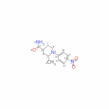 CC1CC(C(N)=O)CCN1c1ccc([N+](=O)[O-])cc1